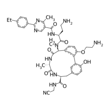 CCc1ccc(-c2ncc(C(=O)N[C@@H](CCN)C(=O)N(C)[C@@H]3C(=O)N[C@@H](C)C(=O)N[C@H](C(=O)NCC#N)Cc4ccc(O)c(c4)-c4cc3ccc4OCCN)c(C)n2)cc1